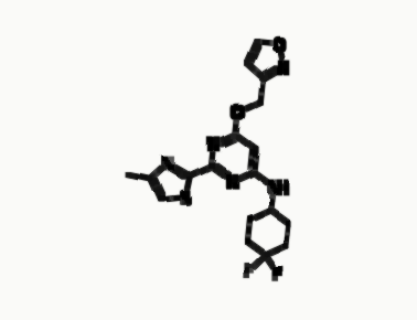 Cc1csc(-c2nc(NC3CCC(F)(F)CC3)cc(OCc3ccon3)n2)n1